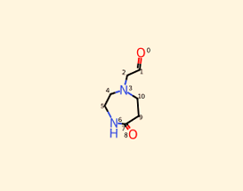 O=CCN1CCNC(=O)CC1